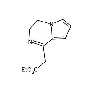 CCOC(=O)CC1=NCCn2cccc21